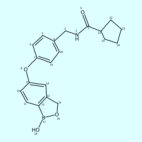 O=C(NCc1ccc(Oc2ccc3c(c2)COB3O)cc1)C1CCCC1